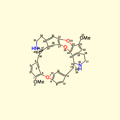 COc1ccc2cc1Oc1ccc(cc1)C[C@@H]1NCCc3cc(OC)c4c(c31)Oc1cc3c(cc1O4)CCN[C@H]3C2